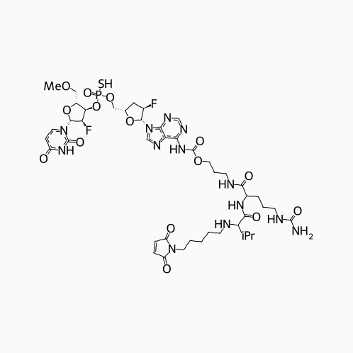 COC[C@H]1O[C@@H](n2ccc(=O)[nH]c2=O)[C@H](F)[C@@H]1OP(=O)(S)OC[C@@H]1C[C@@H](F)[C@H](n2cnc3c(NC(=O)OCCCNC(=O)C(CCCNC(N)=O)NC(=O)C(NCCCCCN4C(=O)C=CC4=O)C(C)C)ncnc32)O1